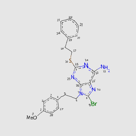 COc1ccc(CCn2c(Br)nc3c(N)nc(SCCc4ccccc4)nc32)cc1